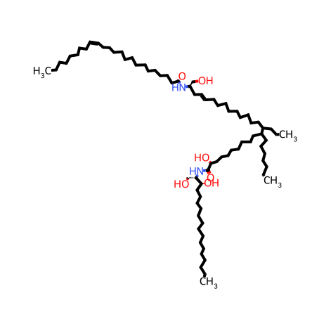 CCCCCCCC/C=C\CCCCCCCCCCCCCC(=O)N[C@@H](CO)C/C=C/CCCCCCCCCC(CCC)C(CCCCCCC)CCCCCCCCC(O)C(=O)N[C@@H](CO)[C@H](O)CCCCCCCCCCCCCCC